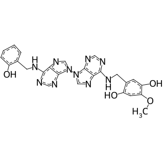 COc1cc(O)c(CNc2ncnc3c2ncn3-n2cnc3c(NCc4ccccc4O)ncnc32)cc1O